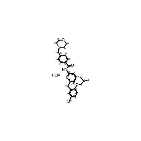 CC(C)COc1ccc(Cl)cc1Cc1cccc(NC(=O)c2ccc(CN3CCOCC3)cc2)n1.Cl